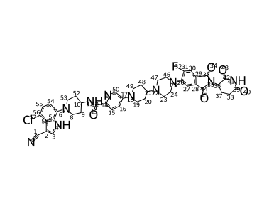 N#Cc1c[nH]c2c(N3CCC(NC(=O)c4ccc(N5CCC(N6CCN(c7cc8c(cc7F)C(=O)N(C7CCC(=O)NC7=O)C8=O)CC6)CC5)cn4)CC3)ccc(Cl)c12